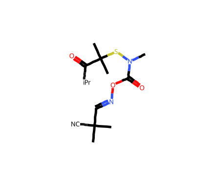 CC(C)C(=O)C(C)(C)SN(C)C(=O)ON=CC(C)(C)C#N